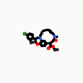 CCCc1cc(Cl)ccc1C1COc2ccc3cc2N(CCCC/C=C/CN(C)C(=O)CC3C(=O)OC(C)(C)C)C1